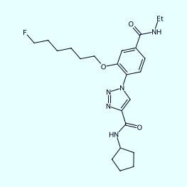 CCNC(=O)c1ccc(-n2cc(C(=O)NC3CCCC3)nn2)c(OCCCCCCF)c1